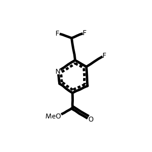 COC(=O)c1cnc(C(F)F)c(F)c1